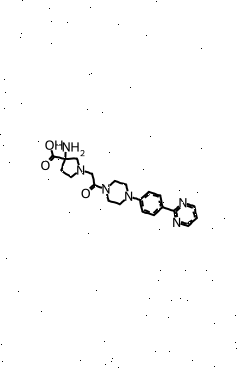 NC1(C(=O)O)CCN(CC(=O)N2CCN(c3ccc(-c4ncccn4)cc3)CC2)C1